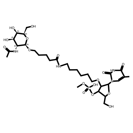 COP(=O)(O)OC1C(CO)OC(n2cc(C)c(=O)[nH]c2=O)C1OCCCCCCNC(=O)CCCCO[C@@H]1O[C@H](CO)[C@H](O)[C@H](O)[C@H]1NC(C)=O